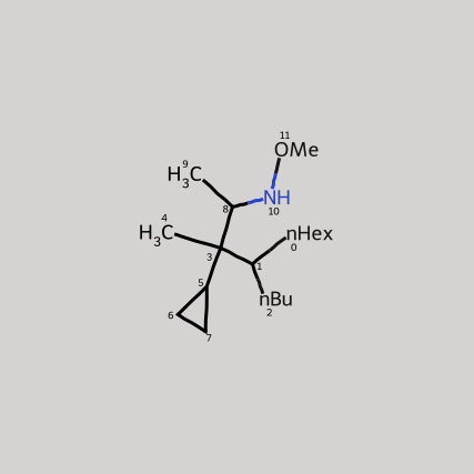 CCCCCCC(CCCC)C(C)(C1CC1)C(C)NOC